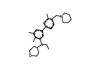 CCN(c1cc(-c2ccc(CN3CCCCC3)c(C)c2)cc(C)c1C)C1CCOCC1